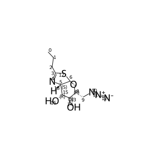 CCCC1=N[C@@H]2C(O[C@H](CN=[N+]=[N-])[C@@H](O)[C@@H]2O)S1